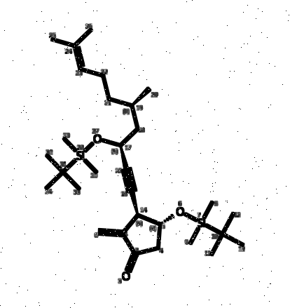 C=C1C(=O)C[C@@H](O[Si](C)(C)C(C)(C)C)[C@@H]1C#C[C@H](C[C@H](C)CCC=C(C)C)O[Si](C)(C)C(C)(C)C